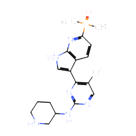 CP(C)(=O)c1ccc2c(-c3nc(NC4CCCNC4)ncc3C(F)(F)F)c[nH]c2n1